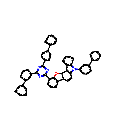 C1=CC2c3cccc(-c4nc(-c5ccc(-c6ccccc6)cc5)nc(-c5cccc(-c6ccccc6)c5)n4)c3OC2c2c1n(-c1cccc(-c3ccccc3)c1)c1ccccc21